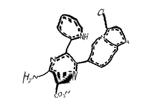 Nc1nc(-c2ccc[nH]2)c(-c2ccc3ncc(Cl)n3c2)nc1C(=O)O